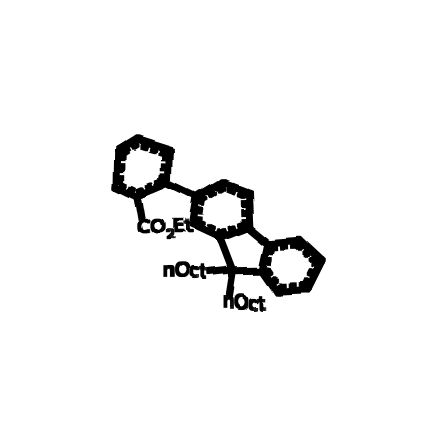 CCCCCCCCC1(CCCCCCCC)c2ccccc2-c2ccc(-c3ccccc3C(=O)OCC)cc21